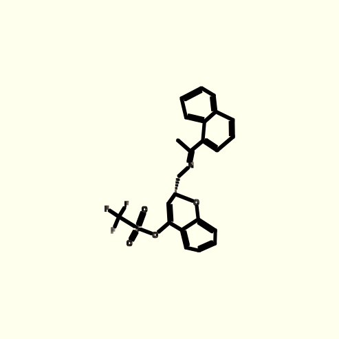 C/C(=N\C[C@H]1C=C(OS(=O)(=O)C(F)(F)F)c2ccccc2O1)c1cccc2ccccc12